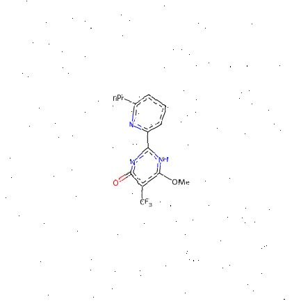 CCCc1cccc(-c2nc(=O)c(C(F)(F)F)c(OC)[nH]2)n1